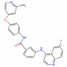 Cc1cc(Oc2ccc(NC(=O)c3cccc(Nc4ccnc5ccc(F)cc45)c3)cc2)ccn1